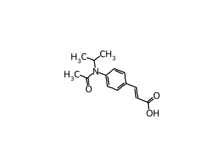 CC(=O)N(c1ccc(C=CC(=O)O)cc1)C(C)C